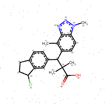 Cc1c(C(c2ccc3c(c2)C(Cl)CC3)C(C)(C)C(=O)O)ccc2c1nnn2C